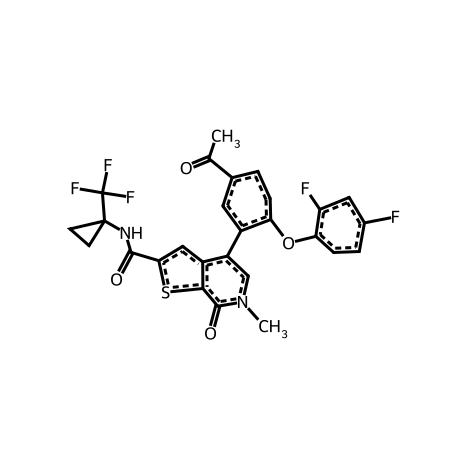 CC(=O)c1ccc(Oc2ccc(F)cc2F)c(-c2cn(C)c(=O)c3sc(C(=O)NC4(C(F)(F)F)CC4)cc23)c1